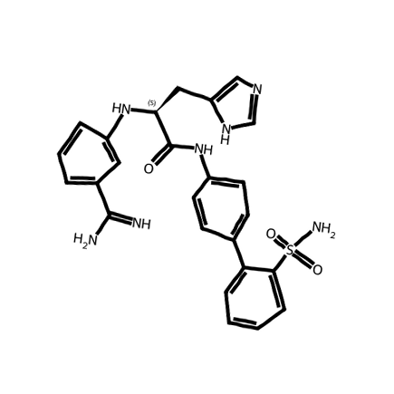 N=C(N)c1cccc(N[C@@H](Cc2cnc[nH]2)C(=O)Nc2ccc(-c3ccccc3S(N)(=O)=O)cc2)c1